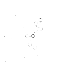 CC1c2ccc(C3=CC4C5CCCCC5N(C5CC=CC6c7ccccc7SC65)C4CC3)cc2C2CCC=CC2CC1C1CC=CC(C2C=CCCC2)C1